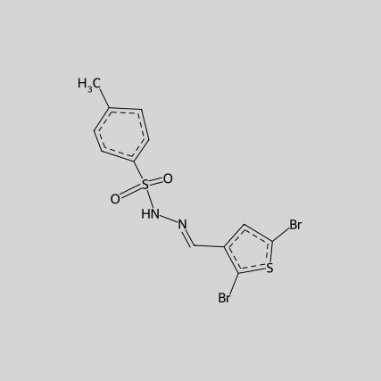 Cc1ccc(S(=O)(=O)NN=Cc2cc(Br)sc2Br)cc1